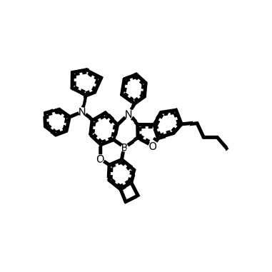 CCCCc1ccc2c3c(oc2c1)B1c2cc4c(cc2Oc2cc(N(c5ccccc5)c5ccccc5)cc(c21)N3c1ccccc1)CC4